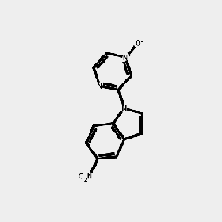 O=[N+]([O-])c1ccc2c(ccn2-c2c[n+]([O-])ccn2)c1